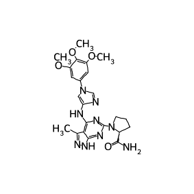 COc1cc(-n2cnc(Nc3nc(N4CCC[C@H]4C(N)=O)nc4[nH]nc(C)c34)c2)cc(OC)c1OC